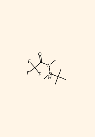 CN(C(=O)C(F)(F)F)[SiH](C)C(C)(C)C